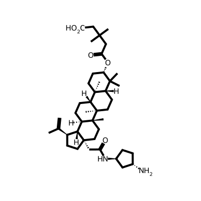 C=C(C)[C@@H]1CC[C@]2(CC(=O)N[C@H]3CC[C@H](N)C3)CC[C@]3(C)[C@H](CC[C@@H]4[C@@]5(C)CC[C@H](OC(=O)CC(C)(C)CC(=O)O)C(C)(C)[C@@H]5CC[C@]43C)[C@@H]12